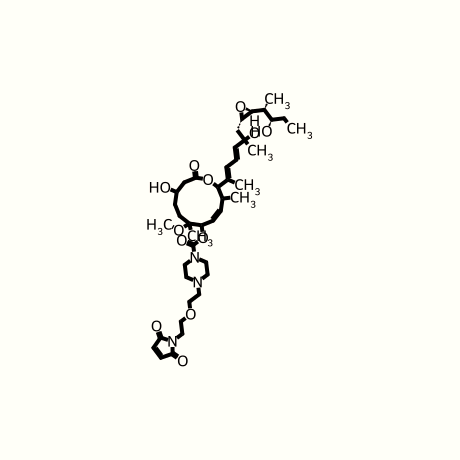 CC[C@H](O)[C@@H](C)[C@@H]1O[C@H]1CC(C)(O)/C=C/C=C(\C)C1OC(=O)CC(O)CCC(C)(OC)C(OC(=O)N2CCN(CCOCCN3C(=O)C=CC3=O)CC2)C=CC1C